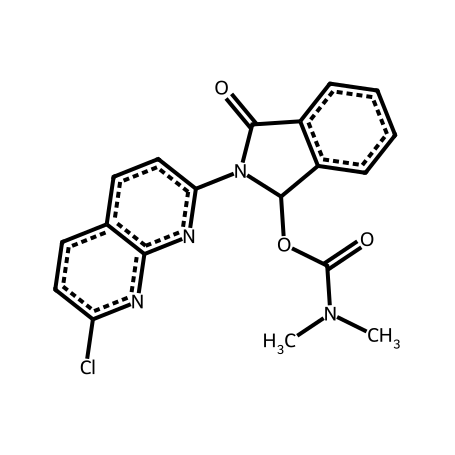 CN(C)C(=O)OC1c2ccccc2C(=O)N1c1ccc2ccc(Cl)nc2n1